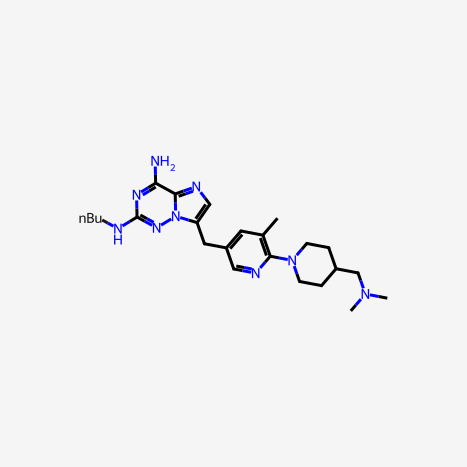 CCCCNc1nc(N)c2ncc(Cc3cnc(N4CCC(CN(C)C)CC4)c(C)c3)n2n1